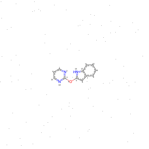 c1cnc(Oc2cc3ccccc3[nH]2)nc1